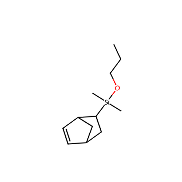 CCCO[Si](C)(C)C1CC2C=CC1C2